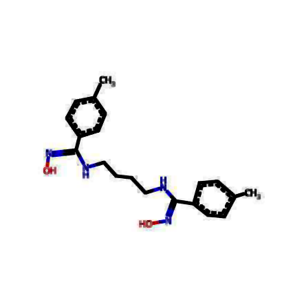 Cc1ccc(/C(=N/O)NCCCCN/C(=N\O)c2ccc(C)cc2)cc1